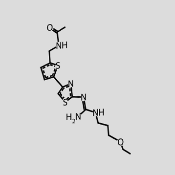 CCOCCCN/C(N)=N/c1nc(-c2ccc(CNC(C)=O)s2)cs1